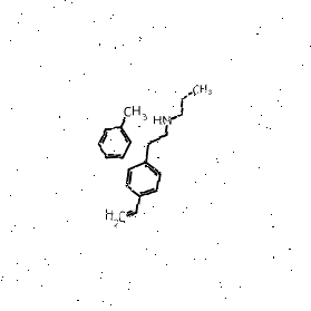 C=Cc1ccc(CCNCCC)cc1.Cc1ccccc1